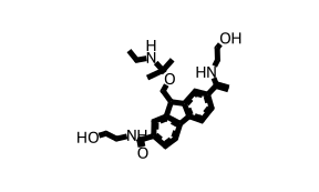 C=C(NCCO)c1ccc2c(c1)C(COC(C)(C)NCC)c1cc(C(=O)NCCO)ccc1-2